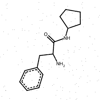 NC(Cc1ccccc1)C(=O)NC1CCCC1